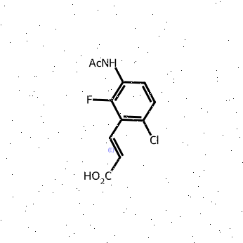 CC(=O)Nc1ccc(Cl)c(/C=C/C(=O)O)c1F